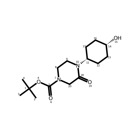 CC(C)(C)OC(=O)N1CCN([C@H]2CC[C@@H](O)CC2)C(=O)C1